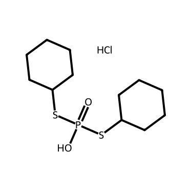 Cl.O=P(O)(SC1CCCCC1)SC1CCCCC1